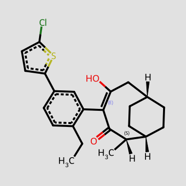 CCc1ccc(-c2ccc(Cl)s2)cc1/C1=C(\O)C[C@H]2CC[C@H](CC2)[C@H](C)C1=O